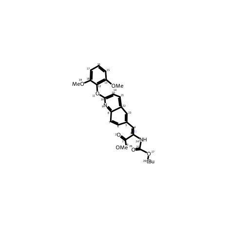 COC(=O)/C(=C\c1ccc2nc(Oc3c(OC)cccc3OC)ccc2c1)NC(=O)OC(C)(C)C